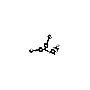 Cc1cc(SCC=C(c2ccc(C#Cc3ccco3)cc2)c2ccc(C#Cc3ccco3)cc2)ccc1OC(C)C(=O)O